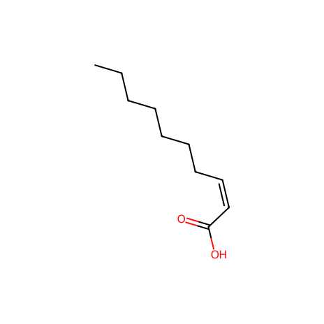 CCCCCCC/C=C\C(=O)O